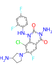 NC1CCN(c2c(F)cc3c(=O)n(N)c(=O)n(Nc4ccc(F)cc4F)c3c2Cl)C1